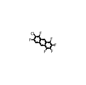 Fc1cc2cc3c(F)c(F)c(F)c(F)c3cc2c(F)c1Cl